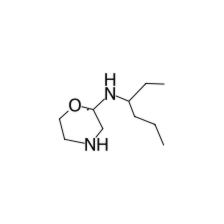 CCCC(CC)N[C]1CNCCO1